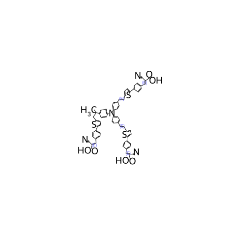 CC(Cc1ccc(-c2ccc(/C=C(\C#N)C(=O)O)cc2)s1)c1ccc(N(c2ccc(/C=C/c3ccc(-c4ccc(/C=C(\C#N)C(=O)O)cc4)s3)cc2)c2ccc(/C=C/c3ccc(-c4ccc(/C=C(\C#N)C(=O)O)cc4)s3)cc2)cc1